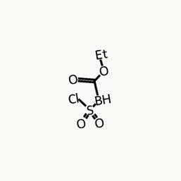 CCOC(=O)BS(=O)(=O)Cl